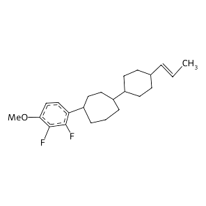 CC=CC1CCC(C2CCCC(c3ccc(OC)c(F)c3F)CC2)CC1